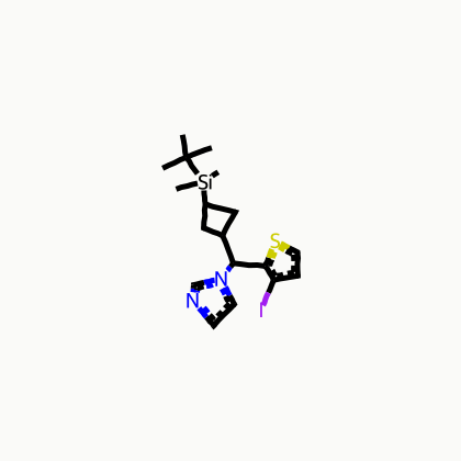 CC(C)(C)[Si](C)(C)C1CC(C(c2sccc2I)n2ccnc2)C1